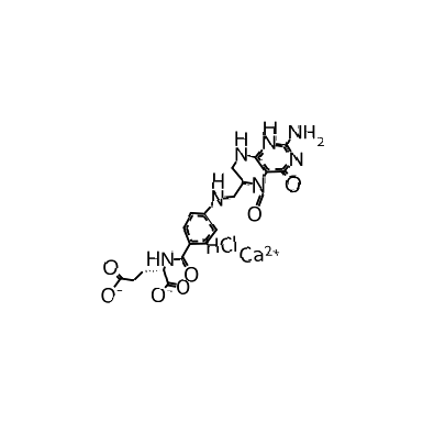 Cl.Nc1nc(=O)c2c([nH]1)NCC(CNc1ccc(C(=O)N[C@@H](CCC(=O)[O-])C(=O)[O-])cc1)N2C=O.[Ca+2]